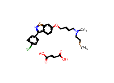 CSCCN(C)CC=CCOc1ccc2c(-c3ccc(Br)cc3)nsc2c1.O=C(O)/C=C/C(=O)O